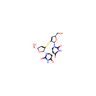 O=c1ccn([C@@H]2O[C@H](CO)C=C2SSC2=C[C@@H](CO)O[C@H]2n2ccc(=O)[nH]c2=O)c(=O)[nH]1